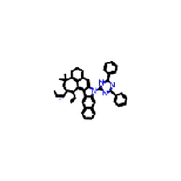 C=CC1=C(/C=C\C)CC(C)(C)C2=c3c1c1c4cc5ccccc5cc4n(-c4nc(-c5ccccc5)nc(-c5ccccc5)n4)c1cc3=CCC2